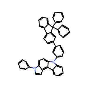 c1ccc(-n2ccc3c4c5ccccc5n(-c5cccc(-c6ccc7c(c6)C(c6ccccc6)(c6ccccc6)c6ccccc6-7)c5)c4ccc32)cc1